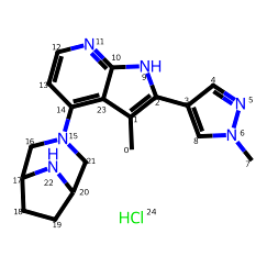 Cc1c(-c2cnn(C)c2)[nH]c2nccc(N3CC4CCC(C3)N4)c12.Cl